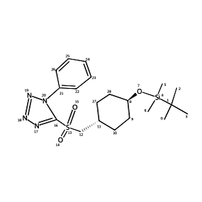 CC(C)(C)[Si](C)(C)O[C@H]1CC[C@H](CS(=O)(=O)c2nnnn2-c2ccccc2)CC1